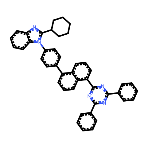 c1ccc(-c2nc(-c3ccccc3)nc(-c3cccc4c(-c5ccc(-n6c(C7CCCCC7)nc7ccccc76)cc5)cccc34)n2)cc1